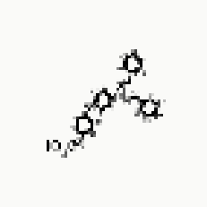 O=C(O)Cc1ccc(Sc2ccc(N(CCc3ccccc3)CCc3ccccc3)cc2)cc1